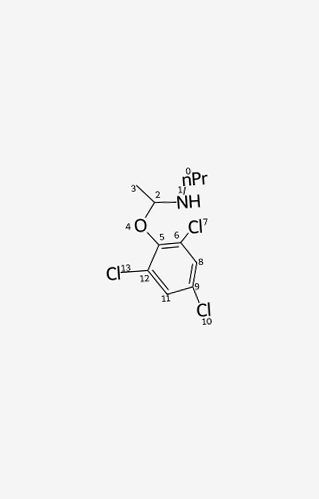 CCCNC(C)Oc1c(Cl)cc(Cl)cc1Cl